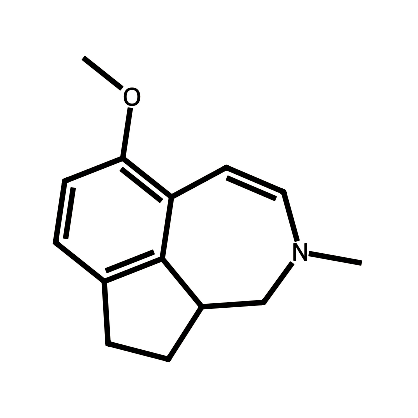 COc1ccc2c3c1C=CN(C)CC3CC2